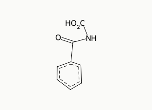 O=C(O)NC(=O)c1ccccc1